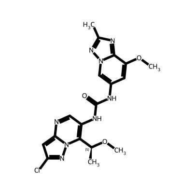 COc1cc(NC(=O)Nc2cnc3cc(Cl)nn3c2[C@H](C)OC)cn2nc(C)nc12